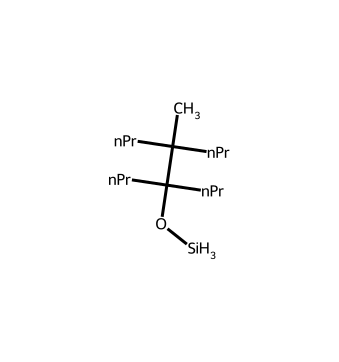 CCCC(C)(CCC)C(CCC)(CCC)O[SiH3]